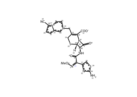 CO/N=C(\C(=O)N[C@@H]1C(=O)N2C(C(=O)[O-])=C(Cn3cc[n+]4c(C#N)ccc-4c3)CS[C@@H]12)c1csc(N)n1